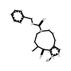 CC1CCN(C(=O)OCc2ccccc2)CCCc2cnn(C(C)C)c2C1=O